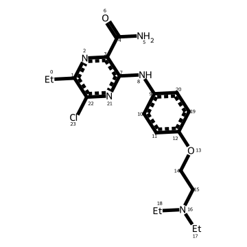 CCc1nc(C(N)=O)c(Nc2ccc(OCCN(CC)CC)cc2)nc1Cl